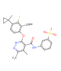 COc1c(Oc2nnc(C(F)(F)F)c(C)c2C(=O)Nc2cccc(S(C)(=O)=O)c2)ccc(C2(C)CC2)c1F